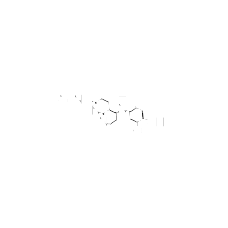 CC(=O)Nc1ccc2c(Nc3cc(O)c(C)cc3F)ccnc2n1